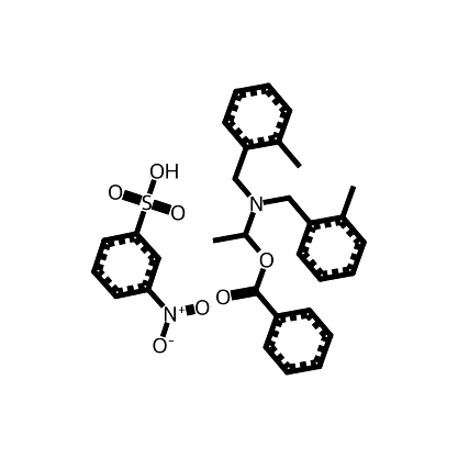 Cc1ccccc1CN(Cc1ccccc1C)C(C)OC(=O)c1ccccc1.O=[N+]([O-])c1cccc(S(=O)(=O)O)c1